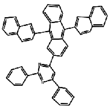 c1ccc(-c2cc(-c3ccc4c(-c5ccc6ccccc6c5)c5ccccc5c(-c5ccc6ccccc6c5)c4c3)nc(-c3ccccc3)n2)cc1